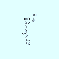 C[C@H](CC/C=C/C(=O)OCc1ccncc1)OC1O[C@@H](C)C(O)C[C@H]1O